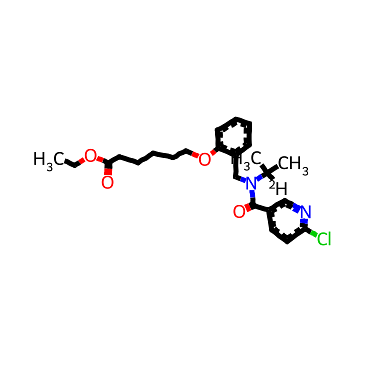 [2H]C(C)(C)N(Cc1ccccc1OCCCCCC(=O)OCC)C(=O)c1ccc(Cl)nc1